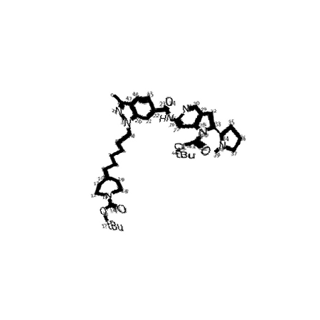 Cc1nn(CCCCCCC2CCN(C(=O)OC(C)(C)C)CC2)c2cc(C(=O)Nc3cc4c(cn3)cc([C@H]3CCCN3C)n4C(=O)OC(C)(C)C)ccc12